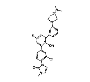 CN(C)[C@H]1CCN(c2cc(-c3cc(F)cc(-c4ccc(-n5ccn(C)c5=O)c(Cl)c4)c3O)ccn2)C1